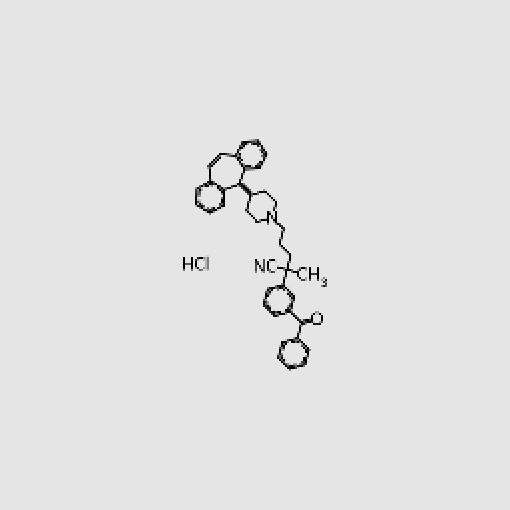 CC(C#N)(CCCN1CCC(=C2c3ccccc3C=Cc3ccccc32)CC1)c1cccc(C(=O)c2ccccc2)c1.Cl